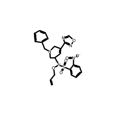 C=CCON(C1C=C(c2ncon2)CN(Cc2ccccc2)C1)S(=O)(=O)c1ccccc1[N+](=O)[O-]